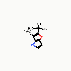 CCc1c(C(C)(C)C)oc2cc[nH]c12